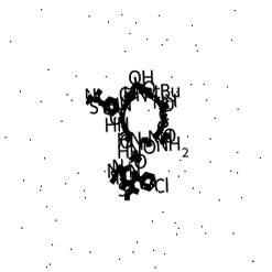 Cc1ncsc1-c1ccc([C@H]2NC(=O)[C@@H]3C[C@@H](O)CN3C(=O)[C@H](C(C)(C)C)NC(=O)CSC[C@H](C(N)=O)NC(=O)[C@@H](CNC(=O)C[C@@H]3N=C(c4ccc(Cl)cc4)c4c(sc(C)c4C)-n4c(C)nnc43)NC(=O)[C@@H](C)NC2=O)cc1